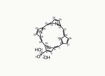 O=P(O)(O)C1=CC2=CC3=NC(=CC4=NC(=CC5=NC(=CC1=N2)C=C5)C=C4)C=C3